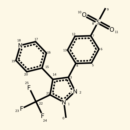 Cn1nc(-c2ccc(S(C)(=O)=O)cc2)c(-c2ccncc2)c1C(F)(F)F